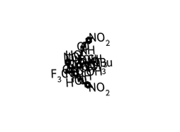 C[C@@H]([C@@H](O)[C@H](OCCO)O[C@@H]1[C@@H](O)[C@H](O[C@H]2OC(CNC(=O)C(F)(F)F)=CC[C@H]2NC(=O)OCc2ccc([N+](=O)[O-])cc2)[C@@H](NC(=O)OCc2ccc([N+](=O)[O-])cc2)C[C@H]1NC(=O)[C@@H](O)CCNC(=O)OCc1ccc([N+](=O)[O-])cc1)N(C)C(=O)OC(C)(C)C